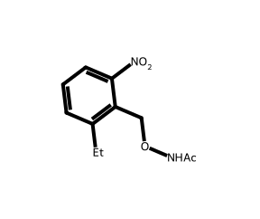 CCc1cccc([N+](=O)[O-])c1CONC(C)=O